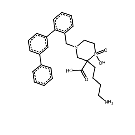 NCCCCC1(C(=O)O)CN(Cc2ccccc2-c2cccc(-c3ccccc3)c2)CCP1(=O)O